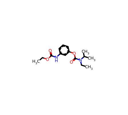 CCOC(=O)Nc1cccc(OC(=O)N(CC)C(C)C)c1